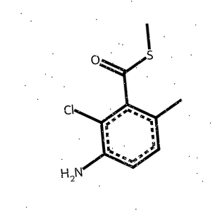 CSC(=O)c1c(C)ccc(N)c1Cl